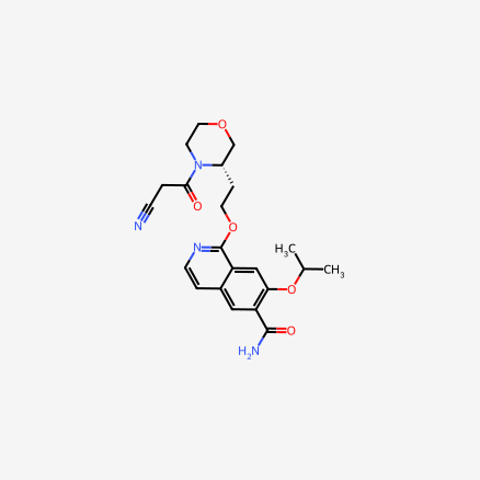 CC(C)Oc1cc2c(OCC[C@H]3COCCN3C(=O)CC#N)nccc2cc1C(N)=O